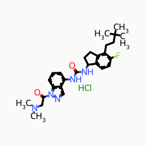 CN(C)CC(=O)n1ncc2c(NC(=O)NC3CCc4c3ccc(F)c4CCC(C)(C)C)cccc21.Cl